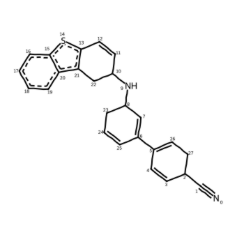 N#CC1C=CC(C2=CC(NC3C=Cc4sc5ccccc5c4C3)CC=C2)=CC1